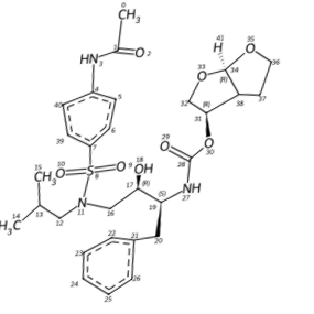 CC(=O)Nc1ccc(S(=O)(=O)N(CC(C)C)C[C@@H](O)[C@H](Cc2ccccc2)NC(=O)O[C@H]2CO[C@H]3OCCC32)cc1